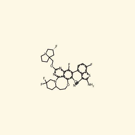 N#Cc1c(N)sc2c(F)ccc(-c3c(Cl)c4c5c(nc(OCC67CCCN6C[C@H](F)C7)nc5c3F)N3CC(F)(F)CCC3CCO4)c12